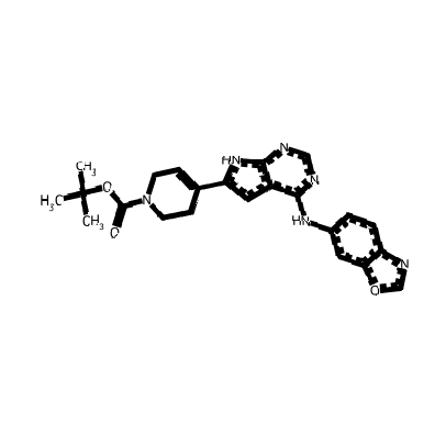 CC(C)(C)OC(=O)N1CC=C(c2cc3c(Nc4ccc5ncoc5c4)ncnc3[nH]2)CC1